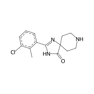 Cc1c(Cl)cccc1C1=NC2(CCNCC2)C(=O)N1